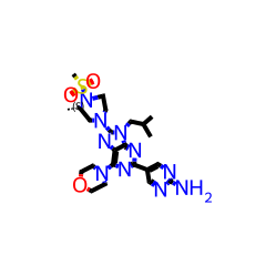 CC(C)Cn1c(N2CCN(S(C)(=O)=O)[C@@H](C)C2)nc2c(N3CCOCC3)nc(-c3cnc(N)nc3)nc21